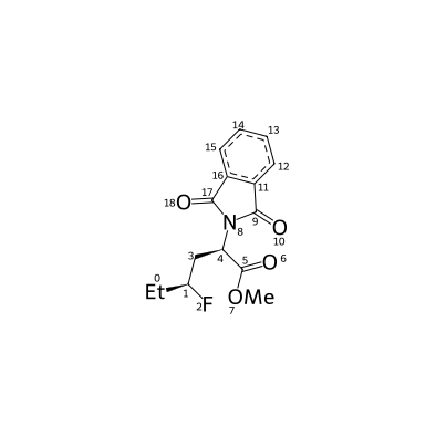 CC[C@H](F)C[C@H](C(=O)OC)N1C(=O)c2ccccc2C1=O